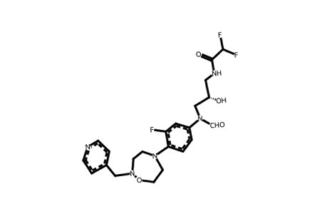 O=CN(C[C@@H](O)CNC(=O)C(F)F)c1ccc(N2CCON(Cc3ccncc3)CC2)c(F)c1